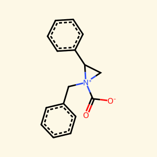 O=C([O-])[N+]1(Cc2ccccc2)CC1c1ccccc1